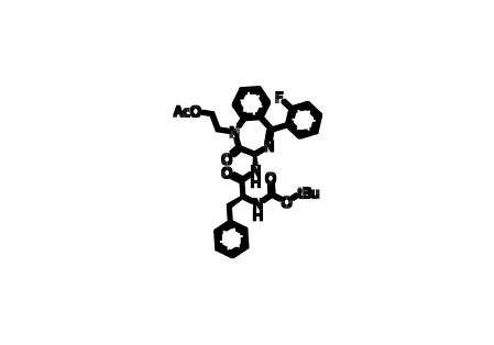 CC(=O)OCCN1C(=O)[C@H](NC(=O)[C@H](Cc2ccccc2)NC(=O)OC(C)(C)C)N=C(c2ccccc2F)c2ccccc21